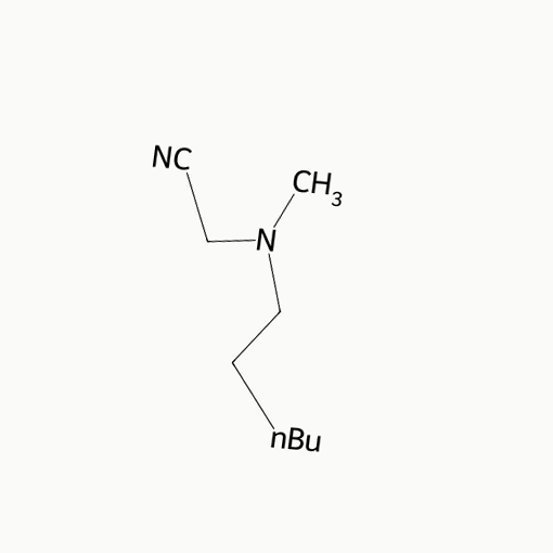 CCCCCCN(C)CC#N